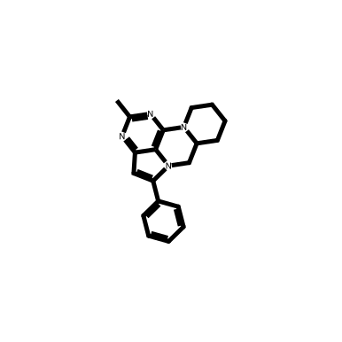 Cc1nc2c3c(cc(-c4ccccc4)n3CC3CCCCN23)n1